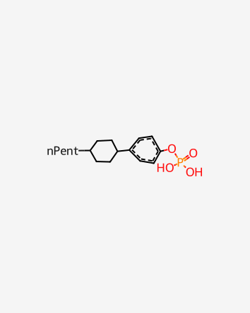 CCCCCC1CCC(c2ccc(OP(=O)(O)O)cc2)CC1